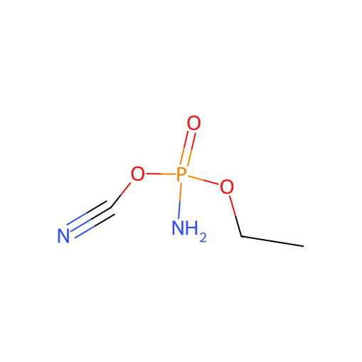 CCOP(N)(=O)OC#N